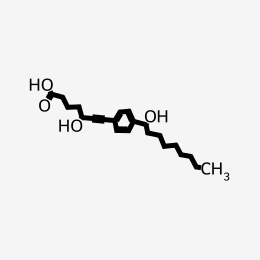 CCCCCCCCC(O)c1ccc(C#CC(O)CCCC(=O)O)cc1